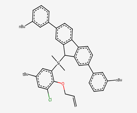 C=CCOc1c(Cl)cc(C(C)(C)C)cc1[Si](C)(C)C1c2cc(-c3cccc(CCCC)c3)ccc2-c2ccc(-c3cccc(CCCC)c3)cc21